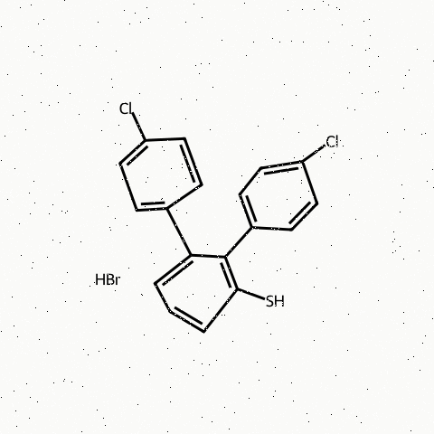 Br.Sc1cccc(-c2ccc(Cl)cc2)c1-c1ccc(Cl)cc1